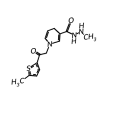 CNNC(=O)C1=CN(CC(=O)c2ccc(C)s2)C=CC1